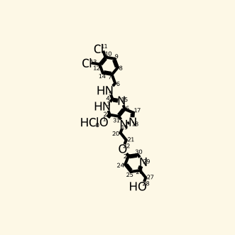 Cl.O=c1[nH]c(NCc2ccc(Cl)c(Cl)c2)nc2cnn(CCOc3ccc(CO)nc3)c12